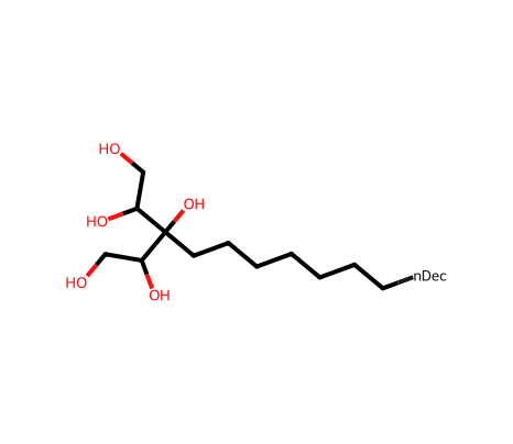 CCCCCCCCCCCCCCCCCC(O)(C(O)CO)C(O)CO